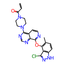 C=CC(=O)N1CCN(c2ncnc3c(Oc4c(C)ccc5[nH]nc(Cl)c45)nccc23)CC1